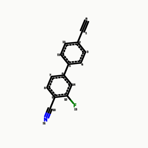 C#Cc1ccc(-c2ccc(C#N)c(F)c2)cc1